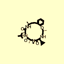 CC(C)C[C@H]1NC(=O)[C@@H](C)N(C)C(=O)C(C2CC2)NC[C@@H](C)Oc2ccccc2CC[C@H](C)NC1=O